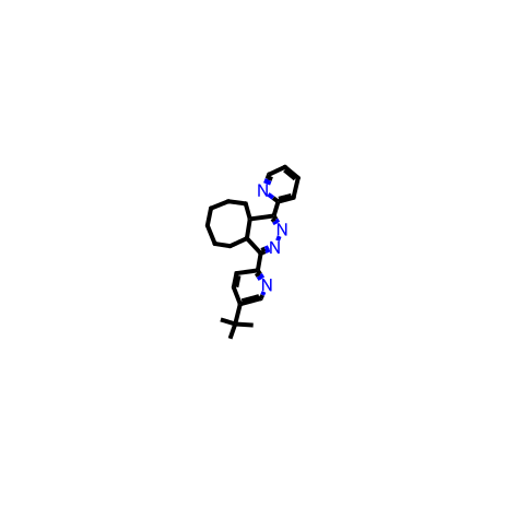 CC(C)(C)c1ccc(C2=NN=C(c3ccccn3)C3CCCCCCC23)nc1